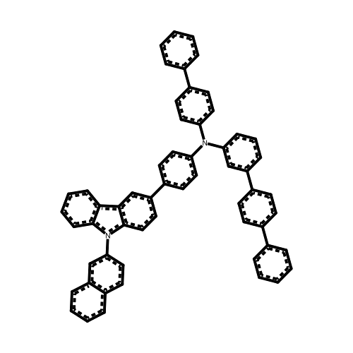 c1ccc(-c2ccc(-c3cccc(N(c4ccc(-c5ccccc5)cc4)c4ccc(-c5ccc6c(c5)c5ccccc5n6-c5ccc6ccccc6c5)cc4)c3)cc2)cc1